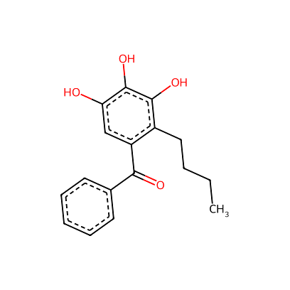 CCCCc1c(C(=O)c2ccccc2)cc(O)c(O)c1O